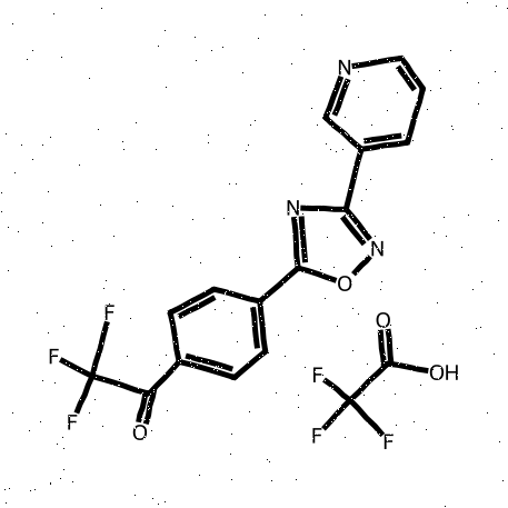 O=C(O)C(F)(F)F.O=C(c1ccc(-c2nc(-c3cccnc3)no2)cc1)C(F)(F)F